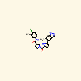 Cc1cc2[nH]ncc2cc1-c1ccc(C(=O)N2CCC(C(=O)Nc3ccc(F)c(C#N)c3)C2)[nH]1